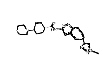 Cn1cc(-c2ccc3nnc(NC(=O)[C@H]4CC[C@H](N5CCOCC5)CC4)cc3c2)nn1